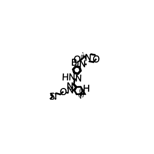 C[C@@H](C(=O)N(C)c1cc2nc(-c3nn(COCC[Si](C)(C)C)c4c3C[C@@H]3C[C@]3(C)C4)[nH]c2cc1Br)N1CCOCC1